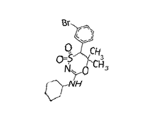 CC1(C)OC(NC2CCCCC2)=NS(=O)(=O)C1c1cccc(Br)c1